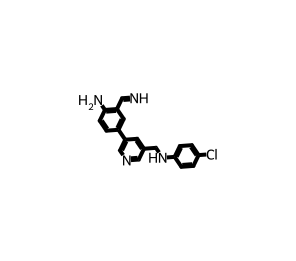 N=Cc1cc(-c2cncc(CNc3ccc(Cl)cc3)c2)ccc1N